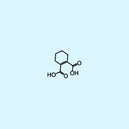 O=C(O)C1=C(C(=O)O)CCCC1